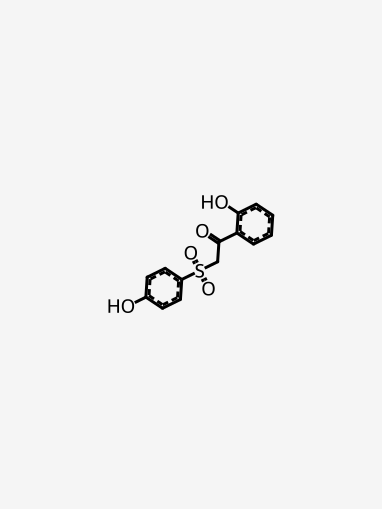 O=C(CS(=O)(=O)c1ccc(O)cc1)c1ccccc1O